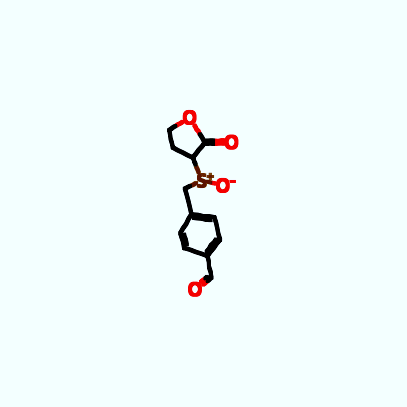 O=Cc1ccc(C[S+]([O-])C2CCOC2=O)cc1